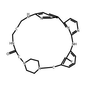 O=C1CN2CCN(CC2)Cc2cccc(c2F)Nc2nccc(n2)-c2ccc(nc2)NCCCN1